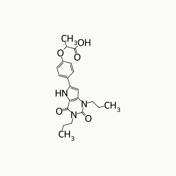 CCCn1c(=O)c2[nH]c(-c3ccc(OC(C)C(=O)O)cc3)cc2n(CCC)c1=O